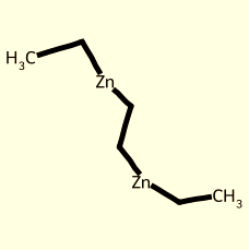 C[CH2][Zn][CH2][CH2][Zn][CH2]C